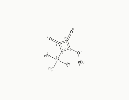 CCCCOc1[c]([Sn]([CH2]CC)([CH2]CC)[CH2]CC)c(=O)c1=O